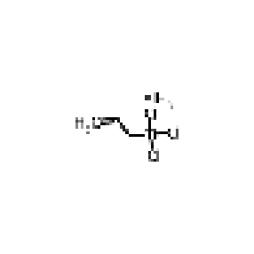 C=C[CH2][Ti]([Cl])([Cl])[Cl].[AlH3]